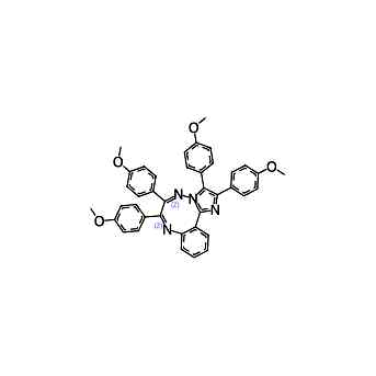 COc1ccc(C2=N/c3ccccc3-c3nc(-c4ccc(OC)cc4)c(-c4ccc(OC)cc4)n3/N=C\2c2ccc(OC)cc2)cc1